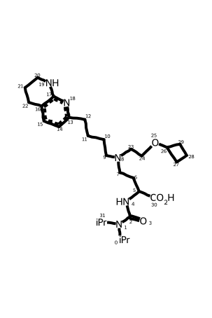 CC(C)N(C(=O)NC(CCN(CCCCc1ccc2c(n1)NCCC2)CCOC1CCC1)C(=O)O)C(C)C